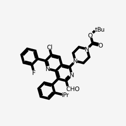 CC(C)c1ccccc1-c1c(C=O)nc(N2CCN(C(=O)OC(C)(C)C)CC2)c2cc(Cl)c(-c3ccccc3F)nc12